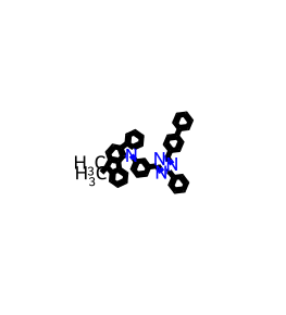 CC1(C)c2ccccc2-c2c1ccc1c3ccccc3n(-c3cccc(-c4nc(-c5ccccc5)nc(-c5ccc(-c6ccccc6)cc5)n4)c3)c21